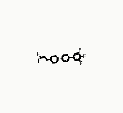 FC(F)=CC[C@H]1CC[C@H](c2ccc(-c3cc(F)c(F)c(F)c3)cc2)CC1